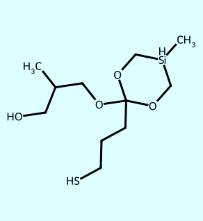 CC(CO)COC1(CCCS)OC[SiH](C)CO1